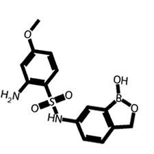 COc1ccc(S(=O)(=O)Nc2ccc3c(c2)B(O)OC3)c(N)c1